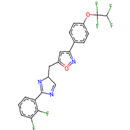 Fc1cccc(C2=NC(Cc3cc(-c4ccc(OC(F)(F)C(F)F)cc4)no3)C=N2)c1F